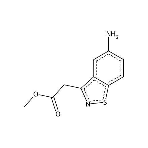 COC(=O)Cc1nsc2ccc(N)cc12